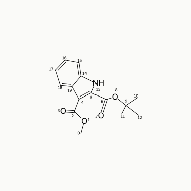 COC(=O)c1c(C(=O)OC(C)(C)C)[nH]c2ccccc12